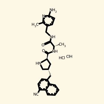 Cc1nc(N)ccc1CNC(=O)[C@H](C)NC(=O)[C@H]1C[C@H](Cc2ccc(C#N)c3ccccc23)CN1.Cl.Cl